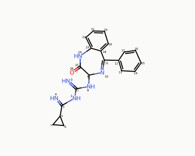 N=C(NC(=N)C1CC1)NC1N=C(c2ccccc2)c2ccccc2NC1=O